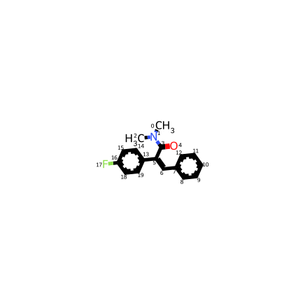 CN(C)C(=O)C(=Cc1ccccc1)c1ccc(F)cc1